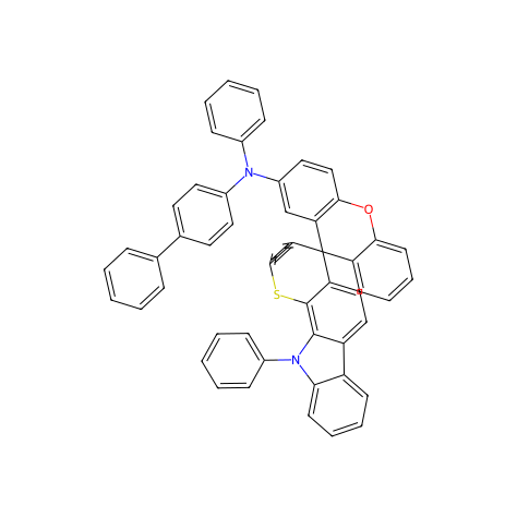 c1ccc(-c2ccc(N(c3ccccc3)c3ccc4c(c3)C3(c5ccccc5O4)c4ccccc4Sc4c3ccc3c5ccccc5n(-c5ccccc5)c43)cc2)cc1